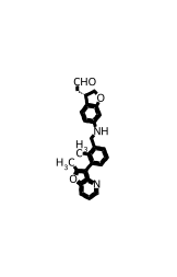 Cc1oc2cccnc2c1-c1cccc(CNc2ccc3c(c2)OC[C@H]3CC=O)c1C